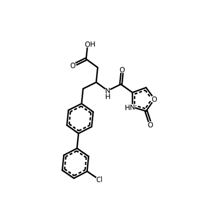 O=C(O)CC(Cc1ccc(-c2cccc(Cl)c2)cc1)NC(=O)c1coc(=O)[nH]1